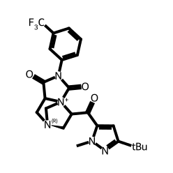 Cn1nc(C(C)(C)C)cc1C(=O)C1C[N@@]2CC3C(=O)N(c4cccc(C(F)(F)F)c4)C(=O)[N+]13C2